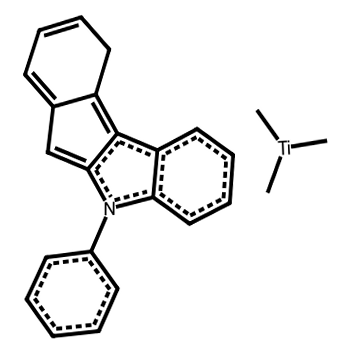 C1=CCC2=c3c(n(-c4ccccc4)c4ccccc34)=CC2=C1.[CH3][Ti]([CH3])[CH3]